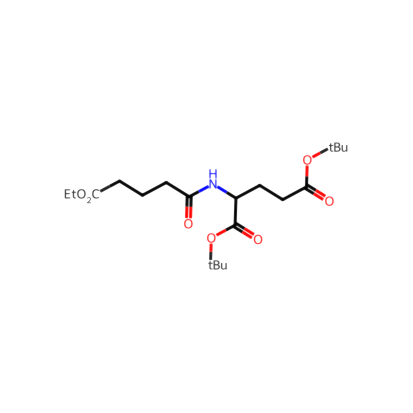 CCOC(=O)CCCC(=O)NC(CCC(=O)OC(C)(C)C)C(=O)OC(C)(C)C